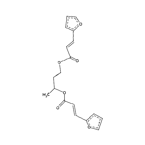 CC(CCOC(=O)/C=C/c1ccco1)OC(=O)/C=C/c1ccco1